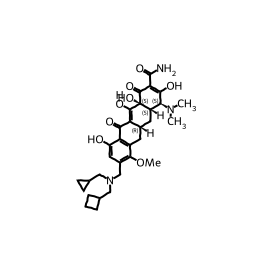 COc1c(CN(CC2CCC2)CC2CC2)cc(O)c2c1C[C@H]1C[C@H]3[C@H](N(C)C)C(O)=C(C(N)=O)C(=O)[C@@]3(O)C(O)=C1C2=O